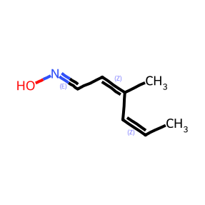 C\C=C/C(C)=C\C=N\O